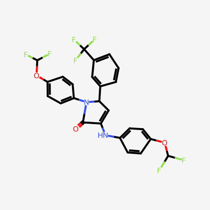 O=C1C(Nc2ccc(OC(F)F)cc2)=CC(c2cccc(C(F)(F)F)c2)N1c1ccc(OC(F)F)cc1